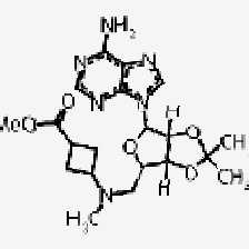 COC(=O)C1CC(N(C)C[C@H]2OC(n3cnc4c(N)ncnc43)[C@@H]3OC(C)(C)O[C@H]23)C1